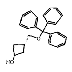 O[C@H]1C[C@H](COC(c2ccccc2)(c2ccccc2)c2ccccc2)C1